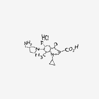 Cc1c(N2CCC(CN)C2)c(F)cc2c(=O)c(C(=O)O)cn(C3CC3)c12.Cl